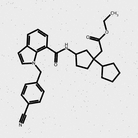 CCOC(=O)CC1(C2CCCC2)CCC(NC(=O)c2cccc3ccn(Cc4ccc(C#N)cc4)c23)C1